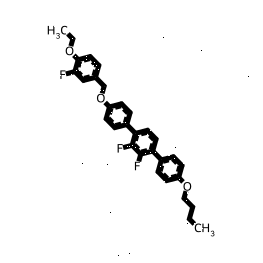 CCCCOc1ccc(-c2ccc(-c3ccc(OCc4ccc(OCC)c(F)c4)cc3)c(F)c2F)cc1